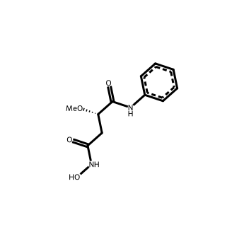 CO[C@@H](CC(=O)NO)C(=O)Nc1ccccc1